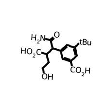 CC(C)(C)c1cc(C(=O)O)cc(C(C(N)=O)C(CCO)C(=O)O)c1